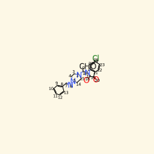 O=CC(N1CCN(N=Cc2ccccc2)CC1)N1C(=O)C(=O)c2ccc(Cl)cc21